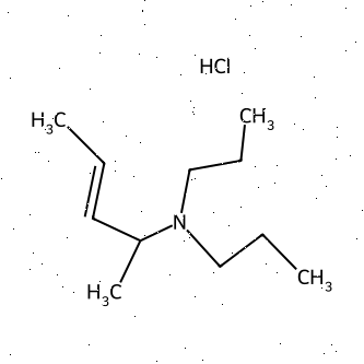 CC=CC(C)N(CCC)CCC.Cl